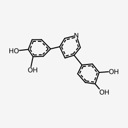 Oc1ccc(-c2cncc(-c3ccc(O)c(O)c3)c2)cc1O